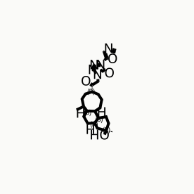 CC1CC[C@H](C(=O)Cn2nnn(-c3cnco3)c2=O)CCCC2[C@H]1CC[C@@H]1C[C@](C)(O)CC[C@H]21